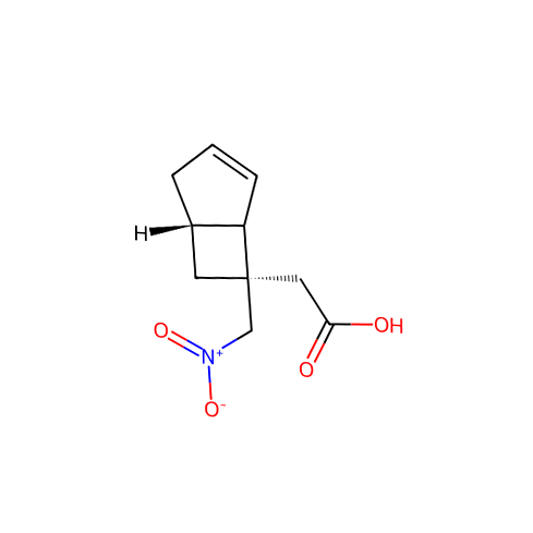 O=C(O)C[C@]1(C[N+](=O)[O-])C[C@@H]2CC=CC21